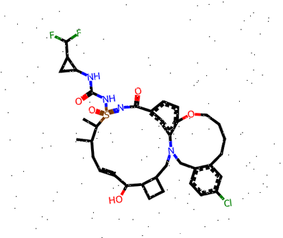 CC1C/C=C/C(O)C2CCC2CN2Cc3ccc(Cl)cc3CCCCOc3ccc(cc32)C(=O)N=S(=O)(NC(=O)NC2CC2C(F)F)C1C